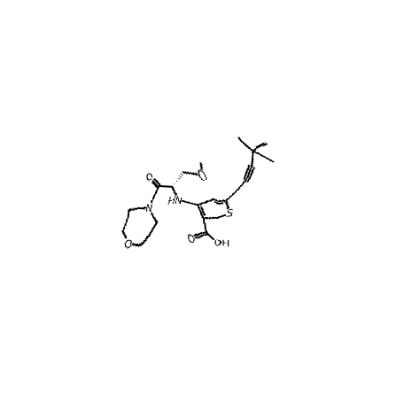 COC[C@H](Nc1cc(C#CC(C)(C)C)sc1C(=O)O)C(=O)N1CCOCC1